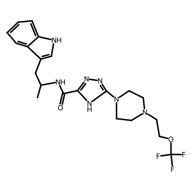 CC(Cc1c[nH]c2ccccc12)NC(=O)c1nnc(N2CCN(CCOC(F)(F)F)CC2)[nH]1